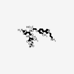 C[n+]1cc(OC[C@H](O/N=C(\C(=O)NC2C(=O)N(OS(=O)(=O)[O-])C2(C)C)c2csc(N)n2)C(=O)O)ccc1-c1cnn(CCCN)c1